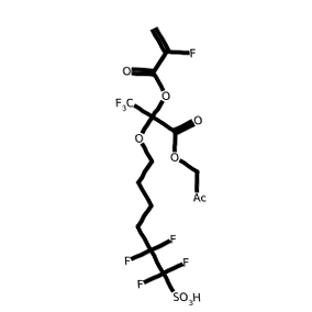 C=C(F)C(=O)OC(OCCCCC(F)(F)C(F)(F)S(=O)(=O)O)(C(=O)OCC(C)=O)C(F)(F)F